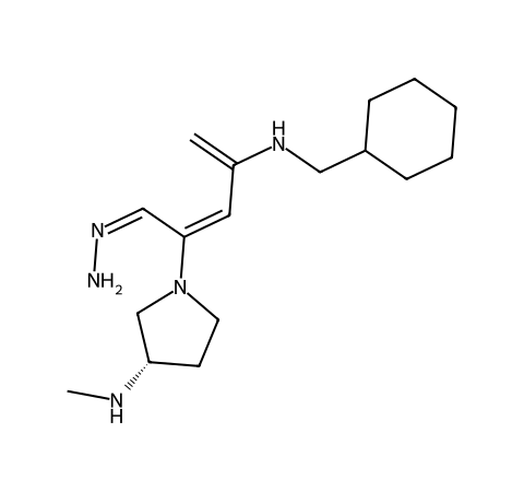 C=C(/C=C(\C=N/N)N1CC[C@H](NC)C1)NCC1CCCCC1